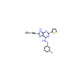 CCCCC#Cc1nc2c(NCc3cccc(I)c3)nc(-c3cccs3)nc2[nH]1